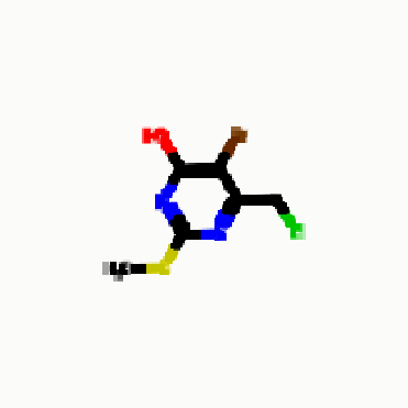 CSc1nc(O)c(Br)c(CCl)n1